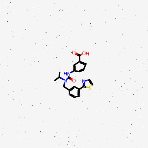 CC(C)N(Cc1cccc(-c2nccs2)c1)C(=O)Nc1cccc(C(=O)O)c1